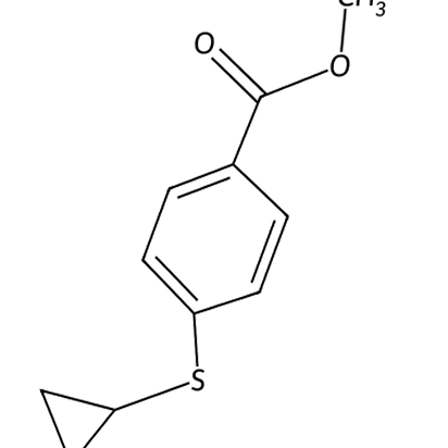 COC(=O)c1ccc(SC2CC2)cc1